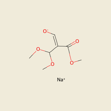 COC(=O)C(=C[O-])C(OC)OC.[Na+]